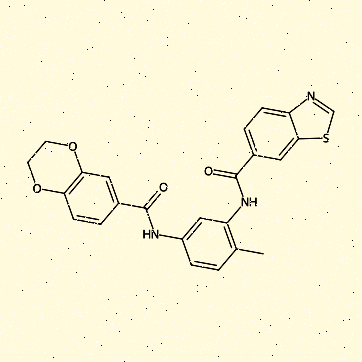 Cc1ccc(NC(=O)c2ccc3c(c2)OCCO3)cc1NC(=O)c1ccc2ncsc2c1